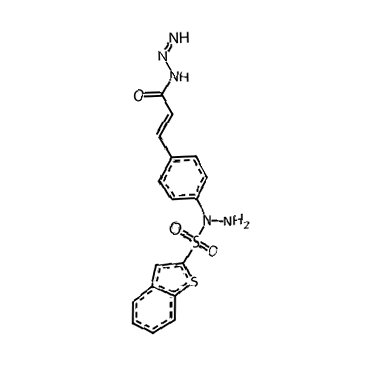 N=NNC(=O)/C=C/c1ccc(N(N)S(=O)(=O)c2cc3ccccc3s2)cc1